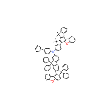 CC1(C)c2cc(N(c3ccc(-c4ccccc4)cc3)c3ccc4c(c3)C(c3ccccc3)(c3ccccc3)c3cc5c(cc3-4)C(c3ccccc3)(c3ccccc3)c3ccc4oc6ccccc6c4c3-5)ccc2-c2c1c1c(c3c2oc2ccccc23)-c2ccccc2C1(C)C